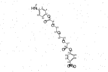 CNc1ccc(OC(=O)COCCOCCOCC(=O)Oc2ccc([N+](=O)[O-])cc2)cc1